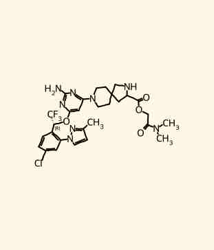 Cc1ccn(-c2cc(Cl)ccc2[C@@H](Oc2cc(N3CCC4(CC3)CNC(C(=O)OCC(=O)N(C)C)C4)nc(N)n2)C(F)(F)F)n1